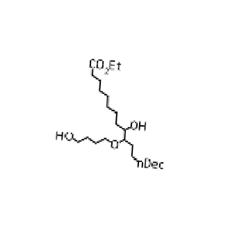 CCCCCCCCCCCCC(OCCCCO)C(O)CCCCCCCC(=O)OCC